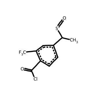 CC([S+]=O)c1ccc(C(=O)Cl)c(C(F)(F)F)c1